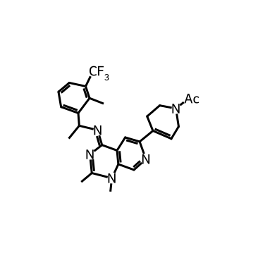 CC(=O)N1CC=C(c2cc3/c(=N/C(C)c4cccc(C(F)(F)F)c4C)nc(C)n(C)c3cn2)CC1